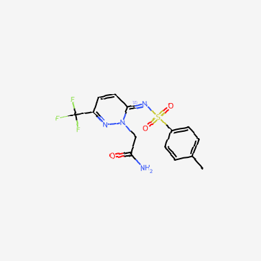 Cc1ccc(S(=O)(=O)/N=c2/ccc(C(F)(F)F)nn2CC(N)=O)cc1